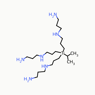 C[CH](C)[Ti]([CH2]CCNCCCN)([CH2]CCNCCCN)[CH2]CCNCCCN